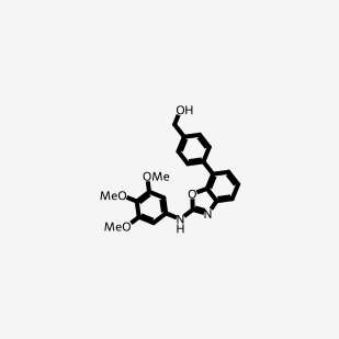 COc1cc(Nc2nc3cccc(-c4ccc(CO)cc4)c3o2)cc(OC)c1OC